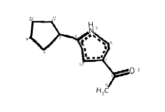 CC(=O)c1c[nH]c(C2CCCC2)c1